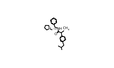 C.CC(C)Cc1ccc(C(C)C(=O)N[C@H](CN2CCCC2)c2ccccc2)cc1